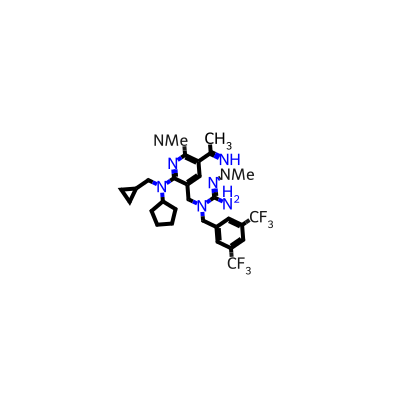 CN/N=C(\N)N(Cc1cc(C(F)(F)F)cc(C(F)(F)F)c1)Cc1cc(C(C)=N)c(NC)nc1N(CC1CC1)C1CCCC1